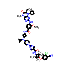 CC[C@@H]1C(=O)N(C)c2cnc(Nc3ccc(C(=O)NC4CC(N(C5CC5)C5CCN(c6ncc(C(=O)NC7C(C)(C)C(Oc8ccc(C#N)c(Cl)c8)C7(C)C)cn6)CC5)C4)cc3OC)nc2N1C1CCCC1